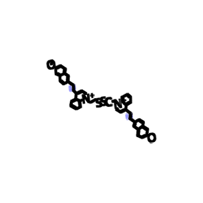 COc1ccc2cc(/C=C/c3cc[n+](CCSSCC[n+]4ccc(/C=C/c5ccc6cc(OC)ccc6c5)c5ccccc54)c4ccccc34)ccc2c1